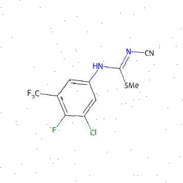 CS/C(=N\C#N)Nc1cc(Cl)c(F)c(C(F)(F)F)c1